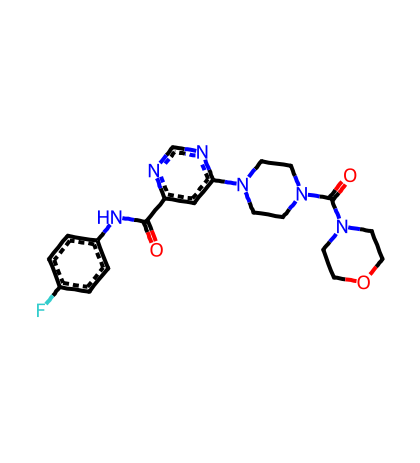 O=C(Nc1ccc(F)cc1)c1cc(N2CCN(C(=O)N3CCOCC3)CC2)ncn1